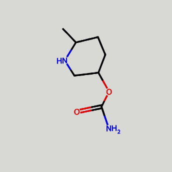 CC1CCC(OC(N)=O)CN1